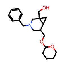 OCC12CC1C(COC1CCCCO1)CN(Cc1ccccc1)C2